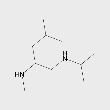 CNC(CNC(C)C)CC(C)C